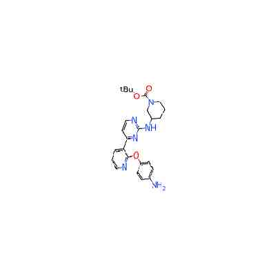 CC(C)(C)OC(=O)N1CCCC(Nc2nccc(-c3cccnc3Oc3ccc(N)cc3)n2)C1